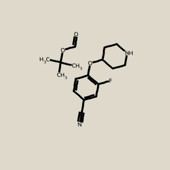 CC(C)(C)OC=O.N#Cc1ccc(OC2CCNCC2)c(F)c1